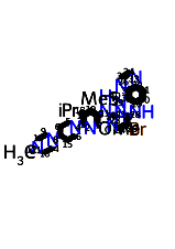 COc1nc(N2CCC(N3CCN(C)CC3)CC2)c(C(C)C)cc1Nc1ncc(Br)c(Nc2ccc3nccnc3c2NSC)n1